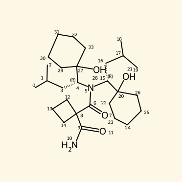 CC(C)C[C@@H](N(C(=O)C1(C(N)=O)CCC1)[C@H](CC(C)C)C1(O)CCCCC1)C1(O)CCCCC1